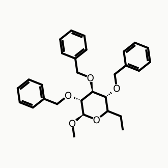 CCC1O[C@@H](OC)[C@H](OCc2ccccc2)[C@@H](OCc2ccccc2)[C@@H]1OCc1ccccc1